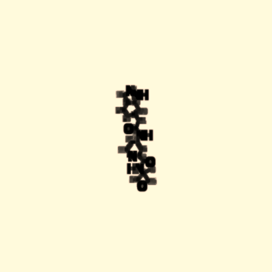 CC1(NC(=O)c2cc(NC(=O)Cc3ccc4cn[nH]c4c3)ccn2)COC1